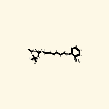 CCOC(=NCCCCCCSc1ccccc1N)OC(C)(C)C